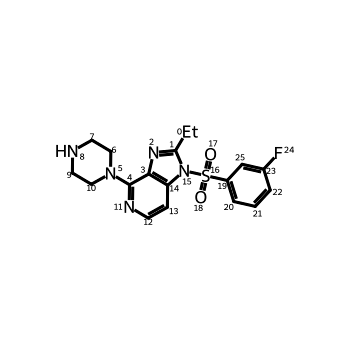 CCc1nc2c(N3CCNCC3)nccc2n1S(=O)(=O)c1cccc(F)c1